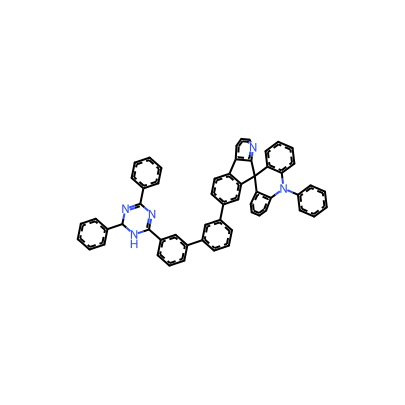 c1ccc(C2=NC(c3ccccc3)NC(c3cccc(-c4cccc(-c5ccc6c(c5)C5(c7ccccc7N(c7ccccc7)c7ccccc75)c5ncccc5-6)c4)c3)=N2)cc1